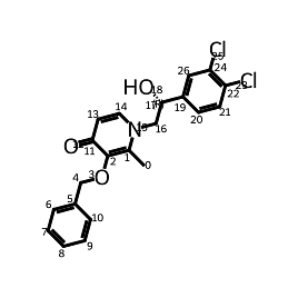 Cc1c(OCc2ccccc2)c(=O)ccn1C[C@H](O)c1ccc(Cl)c(Cl)c1